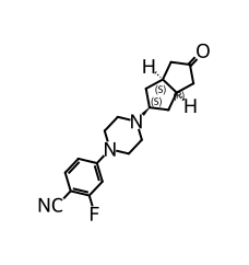 N#Cc1ccc(N2CCN([C@H]3C[C@H]4CC(=O)C[C@H]4C3)CC2)cc1F